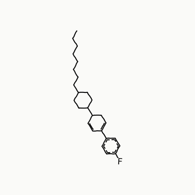 CCCCCCCCC1CCC(C2C=CC(c3ccc(F)cc3)=CC2)CC1